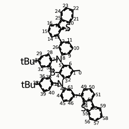 Cc1cc2c3c(c1)N(c1cccc(-c4cccc5c4sc4ccccc45)c1)c1ccc(C(C)(C)C)cc1B3c1cc(C(C)(C)C)ccc1N2c1cccc(-c2cccc3c2sc2ccccc23)c1